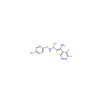 Cc1nnc2sc(C(O)NCc3ccc(Br)cc3)c(N)c2c1C